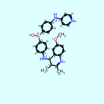 COc1ccc2c(c1)C(Nc1ccc([S+]([O-])c3ccc(Nc4ccncc4)cc3)cc1)C(C)C(C)=N2